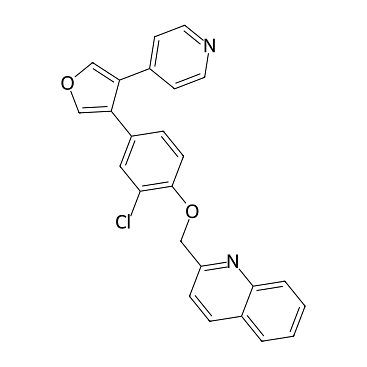 Clc1cc(-c2cocc2-c2ccncc2)ccc1OCc1ccc2ccccc2n1